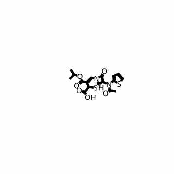 CC(=O)N(c1cccs1)C1C(=O)N2C=C(C(=O)OC(C)C)C(C(=O)O)S[C@H]12